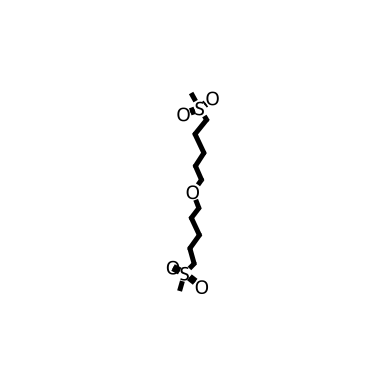 CS(=O)(=O)CCCCCOCCCCCS(C)(=O)=O